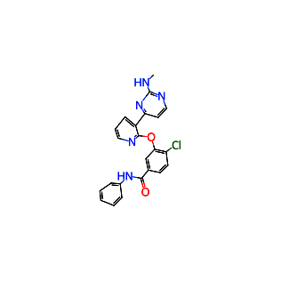 CNc1nccc(-c2cccnc2Oc2cc(C(=O)Nc3ccccc3)ccc2Cl)n1